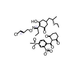 CCSC(C)CC1CC(=O)C(/C(CC)=N/OC/C=C/Cl)=C(O)C1.CS(=O)(=O)c1ccc(C(=O)C2C(=O)CCCC2=O)c([N+](=O)[O-])c1